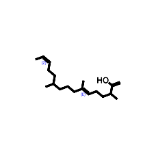 C=C(O)C(C)CC/C=C(\C)CCCC(C)CC/C=C\C